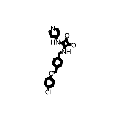 O=c1c(NCc2ccc(COc3ccc(Cl)cc3)cc2)c(Nc2ccncc2)c1=O